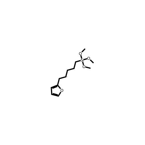 CO[Si](CCC[CH]Cc1ccco1)(OC)OC